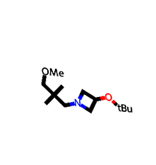 COCC(C)(C)CN1CC(OC(C)(C)C)C1